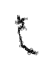 C[C@@H](NC(=O)c1cccc(NC2(C(=N)NC(=N)c3ccncc3)CCNCC2)c1)c1cccc(OCCCCCCOCCOCCOCCC(=O)N2CCN(c3ccc4c(c3)CN(C3CCC(=O)NC3=O)C4=O)CC2)c1